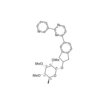 CO[C@@H]1[C@H](OC)[C@H](OC2Cc3ccc(-c4ccnc(-c5cccnc5)n4)cc3C2)O[C@@H](C)[C@@H]1OC